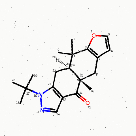 CC1(C)c2occc2C[C@]2(C)C(=O)c3cnn(C(C)(C)C)c3C[C@@H]12